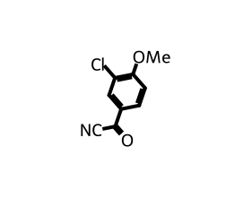 COc1ccc(C(=O)C#N)cc1Cl